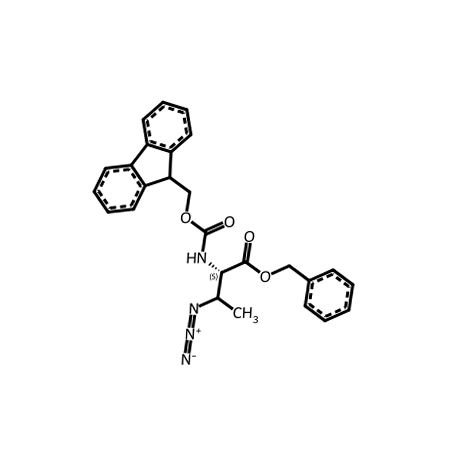 CC(N=[N+]=[N-])[C@H](NC(=O)OCC1c2ccccc2-c2ccccc21)C(=O)OCc1ccccc1